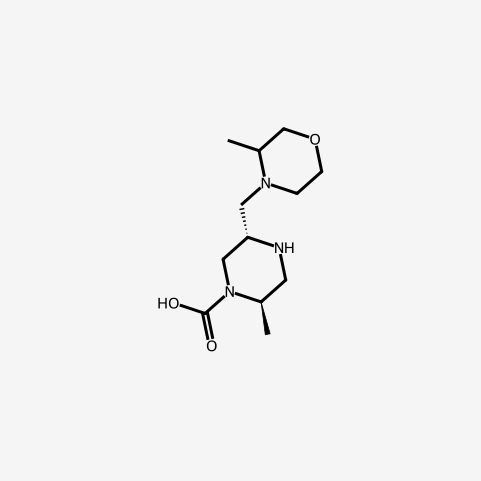 CC1COCCN1C[C@H]1CN(C(=O)O)[C@H](C)CN1